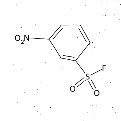 O=[N+]([O-])c1cc[c]c(S(=O)(=O)F)c1